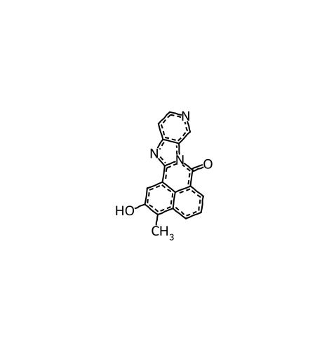 Cc1c(O)cc2c3c1cccc3c(=O)n1c3cnccc3nc21